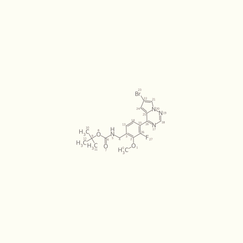 COc1c(CNC(=O)OC(C)(C)C)ccc(-c2ncnn3cc(Br)cc23)c1F